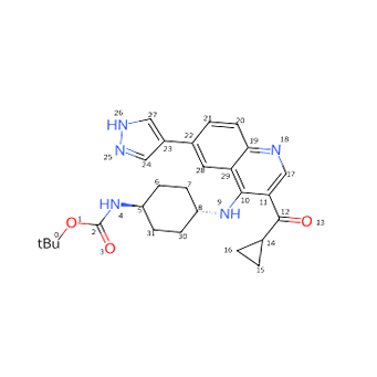 CC(C)(C)OC(=O)N[C@H]1CC[C@H](Nc2c(C(=O)C3CC3)cnc3ccc(-c4cn[nH]c4)cc23)CC1